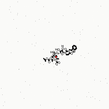 COC(=O)OC(C)OP(=O)(OC(C)OC(=O)OC(C)C)OP(=O)(O)OC[C@H]1O[C@@H](n2ccc(=O)n(Cc3noc4ccccc34)c2=O)C(O)C1O